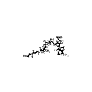 CC(C)CC12N=CN=C(N)C1=NCN2[C@@H]1O[C@H](COP(=O)(O)OP(=O)(O)OCC(C)(C)C(O)C(=O)NCCC(=O)NCCS)[C@@H](OP(=O)(O)O)[C@H]1O